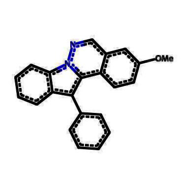 COc1ccc2c(cnn3c4ccccc4c(-c4ccccc4)c23)c1